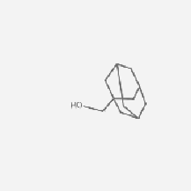 O[CH]C12CC3CC(CC(C3)C1)C2